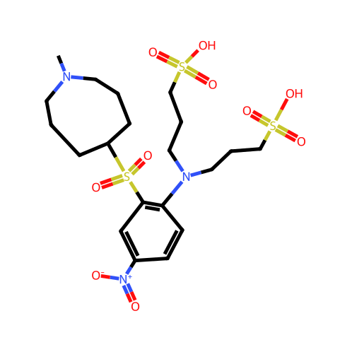 CN1CCCC(S(=O)(=O)c2cc([N+](=O)[O-])ccc2N(CCCS(=O)(=O)O)CCCS(=O)(=O)O)CCC1